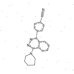 N#Cc1ccc(-c2nnc(N3CC[CH]CC3)c3ccccc23)cc1